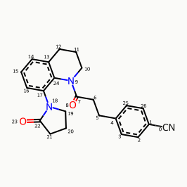 N#Cc1ccc(CCC(=O)N2CCCc3cccc(N4CCCC4=O)c32)cc1